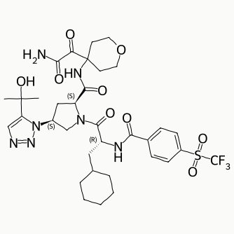 CC(C)(O)c1cnnn1[C@H]1C[C@@H](C(=O)NC2(C(=O)C(N)=O)CCOCC2)N(C(=O)[C@@H](CC2CCCCC2)NC(=O)c2ccc(S(=O)(=O)C(F)(F)F)cc2)C1